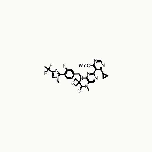 COc1ncnc(C2CC2)c1-c1ncc2c(n1)N(Cc1ccc(-c3nc(C(C)(F)F)cn3C)c(F)c1)C1(COC1)C(=O)N2C